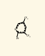 CC(C)c1ncc(C(F)(F)F)cc1C(F)(F)F